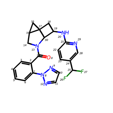 O=C(c1ccccc1-n1nccn1)N1CC2CC23CC(Nc2ccc(C(F)F)cn2)C13